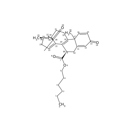 CCCCCCOC(=O)[C@@H]1CC2=CC(=O)C=CC2(C)C2=C1C1=CC[C@@]3(C)CCC(=O)C13CC2